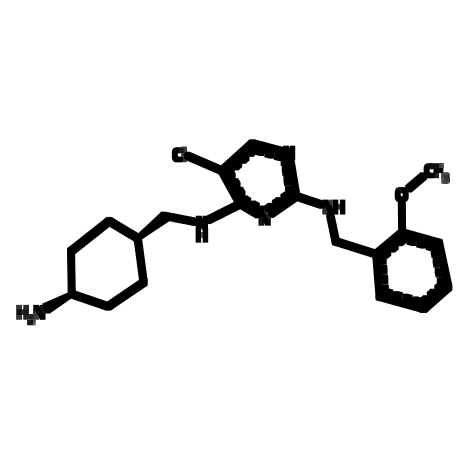 N[C@H]1CC[C@@H](CNc2nc(NCc3ccccc3OC(F)(F)F)ncc2Cl)CC1